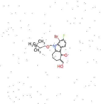 C[Si](C)(C)CCOCn1c2c(c3ccc(F)c(Br)c31)C(=O)C(=CO)CCC2